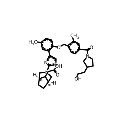 Cc1ccc(OCc2ccc(C(=O)N3CCC(CCO)C3)cc2C)c(-c2csc(N3C[C@H]4CC[C@@H](C3)C4CC(=O)O)n2)c1